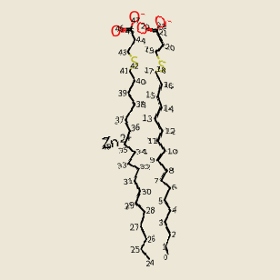 CCCCCCCCCCCCCCCCCCSCCC(=O)[O-].CCCCCCCCCCCCCCCCCCSCCC(=O)[O-].[Zn+2]